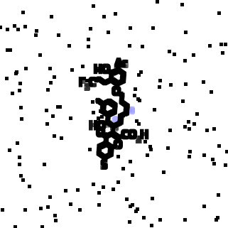 CC(=O)c1ccc(OCC/C=C\C=C\[C@@H](c2c(C(=O)O)oc3c(c2=O)=CCC(=S)C=3)[C@@H](O)c2cccc(C)c2)c(CCC(F)(F)F)c1O